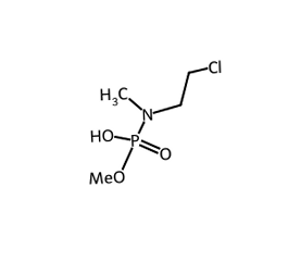 COP(=O)(O)N(C)CCCl